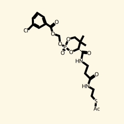 CC(=O)SCCNC(=O)CCNC(=O)[C@@H]1OP(=O)(OCOC(=O)c2cccc(Cl)c2)OCC1(C)C